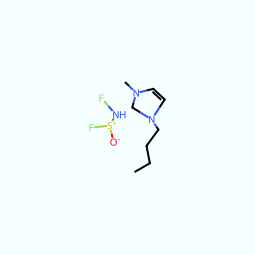 CCCCN1C=CN(C)C1.[O-][S+](F)NF